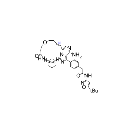 CC(C)(C)c1cc(NC(=O)Cc2ccc(-c3nc4n5c(cnc(N)c35)/C=C/CCOCCC(=O)N[C@@H]3CCC[C@@H]4C3)cc2)no1